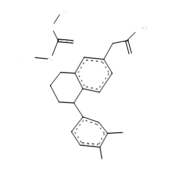 COC(=O)Cc1ccc2c(c1)[C@@H](N(C)C(=O)OC(C)(C)C)CCC2c1ccc(Cl)c(Cl)c1